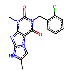 Cc1cn2c(nc3c2c(=O)n(Cc2ccccc2Cl)c(=O)n3C)[nH]1